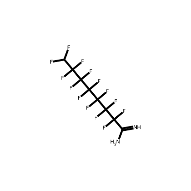 N=C(N)C(F)(F)C(F)(F)C(F)(F)C(F)(F)C(F)(F)C(F)(F)[C](F)F